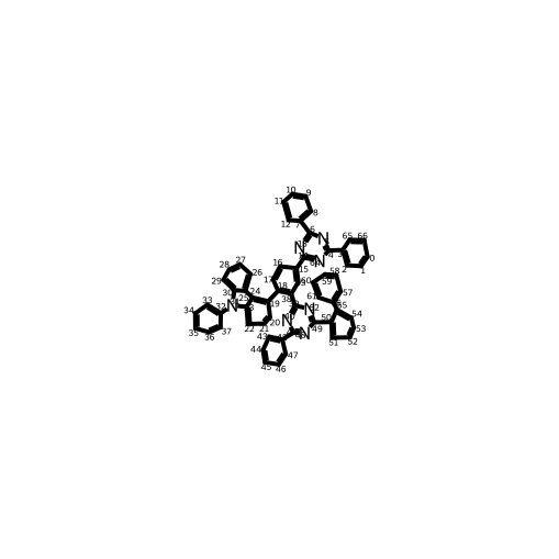 c1ccc(-c2nc(-c3ccccc3)nc(-c3ccc(-c4cccc5c4c4ccccc4n5-c4ccccc4)c(-c4nc(-c5ccccc5)nc(-c5ccccc5-c5ccccc5)n4)c3)n2)cc1